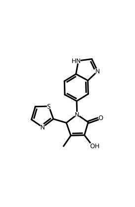 CC1=C(O)C(=O)N(c2ccc3[nH]cnc3c2)C1c1nccs1